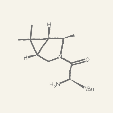 C[C@@H]1[C@@H]2[C@H](CN1C(=O)[C@H](N)C(C)(C)C)C2(C)C